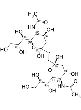 CC(=O)N[C@H]1[C@H]([C@H](O)[C@H](O)CO)O[C@](O)(C[CH][C@]2(O)C[C@H](O)[C@@H](NC(C)=O)[C@H]([C@H](O)[C@H](O)CO)O2)C[C@@H]1O